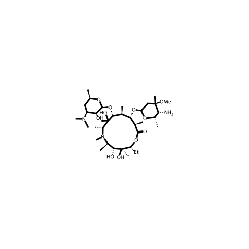 CC[C@H]1OC(=O)[C@H](C)[C@@H](O[C@H]2C[C@@](C)(OC)[C@H](N)[C@H](C)O2)[C@H](C)[C@@H](O[C@@H]2O[C@H](C)C[C@H](N(C)C)[C@H]2O)C(C)(O)[C@@H](C)N(C)[C@H](C)[C@@H](O)[C@]1(C)O